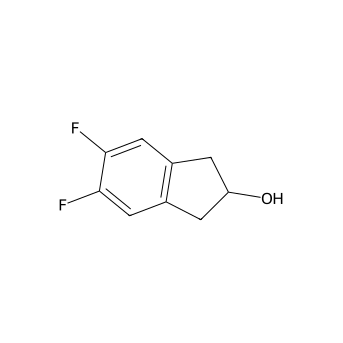 OC1Cc2cc(F)c(F)cc2C1